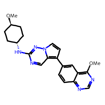 COc1ncnc2ccc(-c3ccn4nc(N[C@H]5CC[C@H](OC)CC5)ncc34)cc12